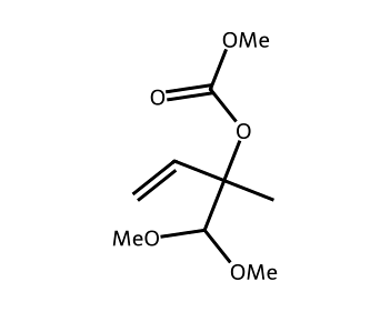 C=CC(C)(OC(=O)OC)C(OC)OC